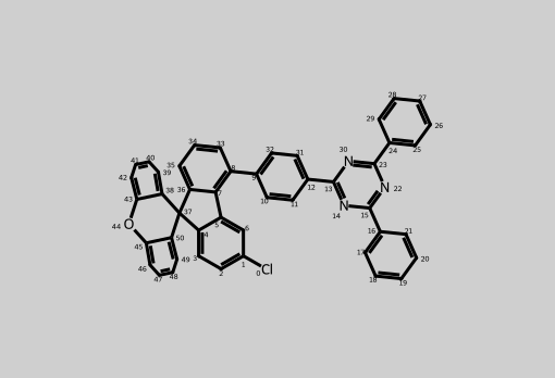 Clc1ccc2c(c1)-c1c(-c3ccc(-c4nc(-c5ccccc5)nc(-c5ccccc5)n4)cc3)cccc1C21c2ccccc2Oc2ccccc21